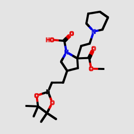 COC(=O)C1(CCN2CCCCC2)CC(CCB2OC(C)(C)C(C)(C)O2)CN1C(=O)O